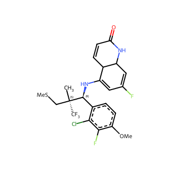 COc1ccc([C@H](NC2=CC(F)=CC3NC(=O)C=CC23)[C@](C)(CSC)C(F)(F)F)c(Cl)c1F